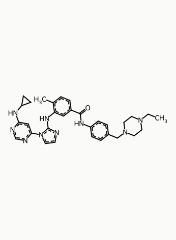 CCN1CCN(Cc2ccc(NC(=O)c3ccc(C)c(Nc4nccn4-c4cc(NC5CC5)ncn4)c3)cc2)CC1